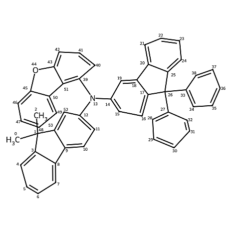 CC1(C)c2ccccc2-c2ccc(N(c3ccc4c(c3)-c3ccccc3C4(c3ccccc3)c3ccccc3)c3cccc4oc5ccccc5c34)cc21